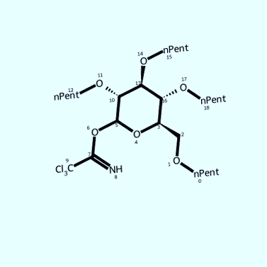 CCCCCOC[C@H]1OC(OC(=N)C(Cl)(Cl)Cl)[C@H](OCCCCC)[C@@H](OCCCCC)[C@@H]1OCCCCC